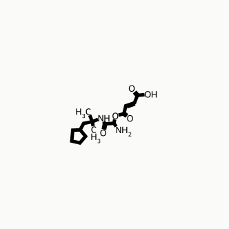 CC(C)(CC1CCCC1)NC(=O)C(N)OC(=O)/C=C/C(=O)O